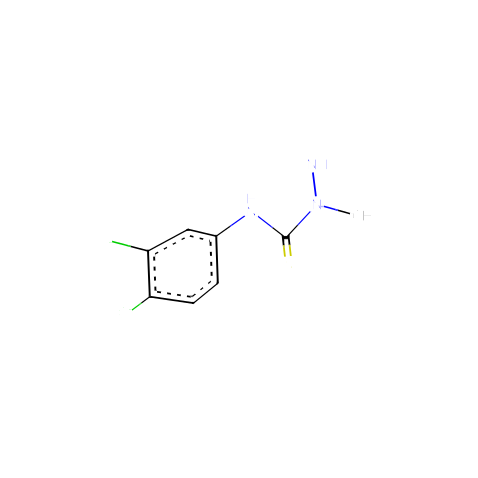 CN(N)C(=S)Nc1ccc(Cl)c(Cl)c1